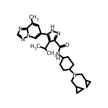 Cc1cc(-c2[nH]nc(C(=O)NC3CCC(N(CC4CC4)CC4CC4)CC3)c2C(C)C)cn2ncnc12